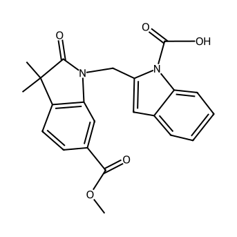 COC(=O)c1ccc2c(c1)N(Cc1cc3ccccc3n1C(=O)O)C(=O)C2(C)C